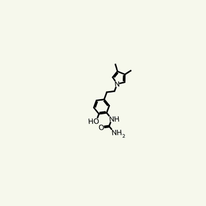 Cc1cn(CCc2ccc(O)c(NC(N)=O)c2)cc1C